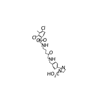 Cc1c(Cl)ccc(S(=O)(=O)CNCCCC(=O)CNCc2ccc(C3=NCCN3C(=O)O)cc2)c1Cl